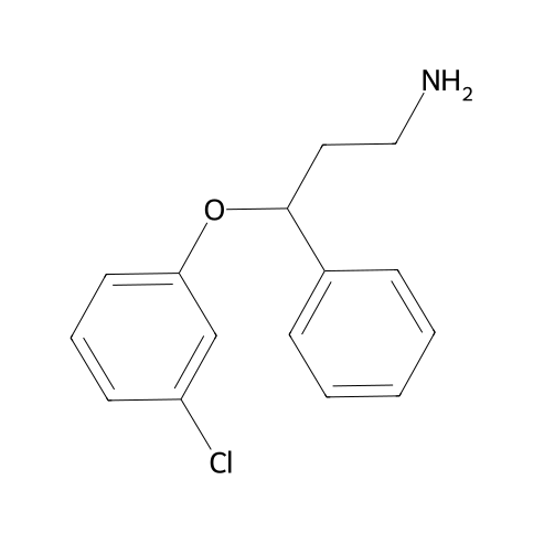 NCCC(Oc1cccc(Cl)c1)c1ccccc1